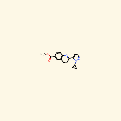 COC(=O)c1ccc2c(c1)CCC(c1ccnn1C1CC1)=N2